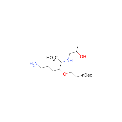 CCCCCCCCCCCCOC(CCCN)C(NCC(C)O)C(=O)O